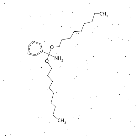 CCCCCCCCCOC(N)(OCCCCCCCCC)c1ccccc1